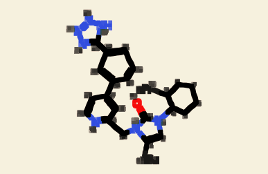 CCCCc1cn(C2CCCCC2CCC)c(=O)n1Cc1cc(-c2cccc(-c3nnn[nH]3)c2)ccn1